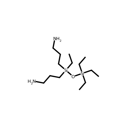 CC[Si](CC)(CC)O[Si](CC)(CCCN)CCCN